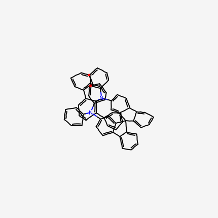 c1ccc(-c2cccc(-c3ccccc3)c2N(c2ccccc2)c2ccc3c(c2)C2(c4ccccc4-c4ccc(N(c5ccccc5)c5ccccc5)cc42)c2ccccc2-3)cc1